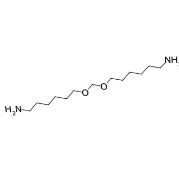 NCCCCCCOCOCCCCCCN